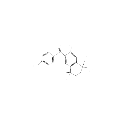 Cc1ccc(C(=S)c2cc3c(cc2C)C(C)(C)CCC3(C)C)cc1